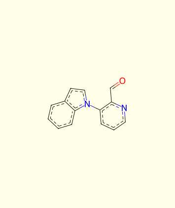 O=Cc1ncccc1-n1ccc2ccccc21